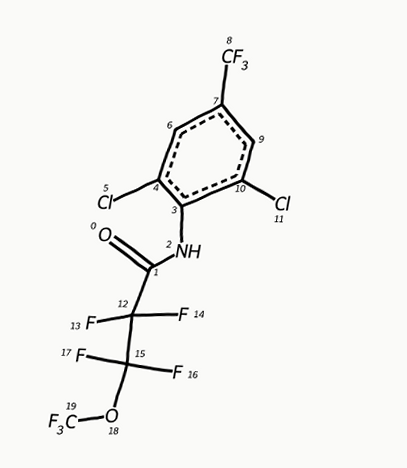 O=C(Nc1c(Cl)cc(C(F)(F)F)cc1Cl)C(F)(F)C(F)(F)OC(F)(F)F